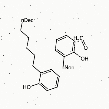 C=O.CCCCCCCCCCCCCCCc1ccccc1O.CCCCCCCCCc1ccccc1O